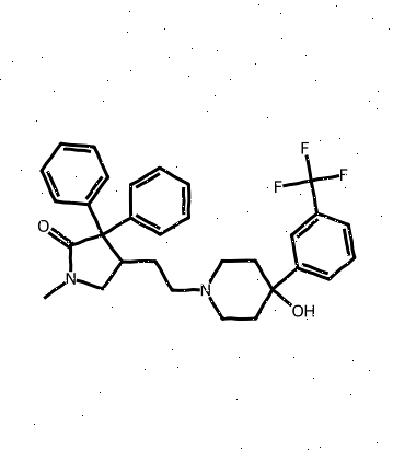 CN1CC(CCN2CCC(O)(c3cccc(C(F)(F)F)c3)CC2)C(c2ccccc2)(c2ccccc2)C1=O